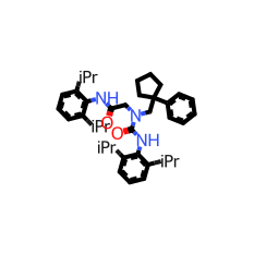 CC(C)c1cccc(C(C)C)c1NC(=O)CN(CC1(c2ccccc2)CCCC1)C(=O)Nc1c(C(C)C)cccc1C(C)C